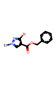 CCn1cc(C(=O)OCc2ccccc2)c(Br)n1